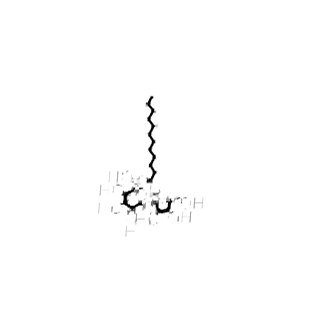 CCCCCCCCCCCC(=O)OC[C@]1(O[C@@H]2O[C@@H](CO)[C@H](O)[C@@H](O)[C@@H]2O)O[C@@H](CO)[C@H](O)[C@H]1O